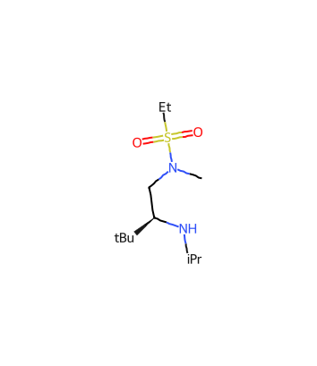 CCS(=O)(=O)N(C)C[C@@H](NC(C)C)C(C)(C)C